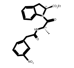 CCOC(=O)[C@@H]1Cc2ccccc2N1C(=O)[C@H](C)NC(=O)Cc1cccc([N+](=O)[O-])c1